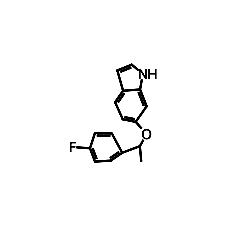 CC(Oc1ccc2cc[nH]c2c1)c1ccc(F)cc1